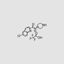 O=C(NN1CCNCC1)c1ccc2cc(Cl)ccc2n1.O=C(O)C(F)(F)F